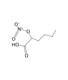 CCCCC(O[N+](=O)[O-])C(=O)O